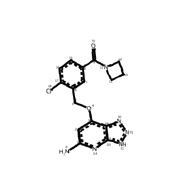 Nc1cc(OCc2cc(C(=O)N3CCC3)ccc2Cl)c2nn[nH]c2n1